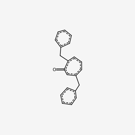 O=c1cc(Cc2ccccc2)cccc1Cc1ccccc1